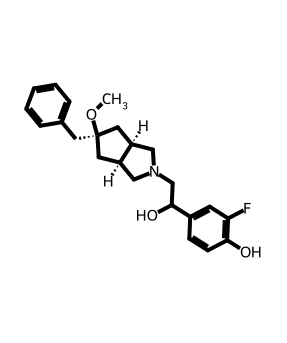 CO[C@@]1(Cc2ccccc2)C[C@H]2CN(CC(O)c3ccc(O)c(F)c3)C[C@H]2C1